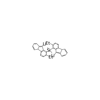 [Li][C]1=C2C=CC=CC2c2ccc(CC)c([Si](C)(C)c3c(CC)ccc4c3[C]([Li])=C3C=CC=CC34)c21